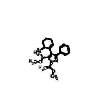 C=C(OC)n1nc(-c2ccccc2)c(C2=CCCCC2Br)c1N(C)OC